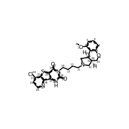 COc1cccc2c1[C@@H]1CN(CCCCn3c(=O)[nH]c4c(sc5c(Cl)ccnc54)c3=O)C[C@@H]1CO2